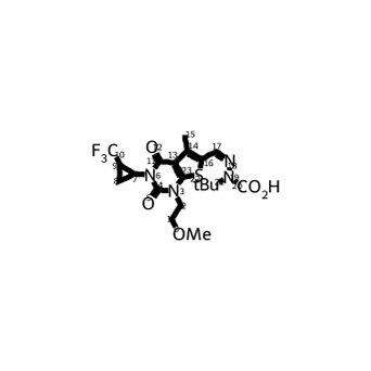 COCCn1c(=O)n(C2CC2C(F)(F)F)c(=O)c2c(C)c(/C=N\N(C(=O)O)C(C)(C)C)sc21